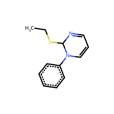 CCSC1N=CC=CN1c1ccccc1